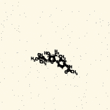 C=C1N=C(NC(C)=O)C=CN1[C@@H]1O[C@H](CCP(=C)(C)C)[C@@H](O)[C@H]1C